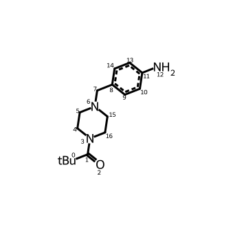 CC(C)(C)C(=O)N1CCN(Cc2ccc(N)cc2)CC1